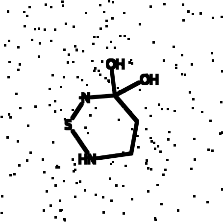 OC1(O)CCNS[N]1